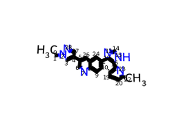 CCn1cc(-c2cnc3ccc(-c4nc[nH]c4-c4cccc(C)n4)cc3c2)cn1